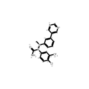 CN(c1cccc(-c2cncnc2)c1)N(C(N)=O)c1ccc(Cl)c(C(F)(F)F)c1